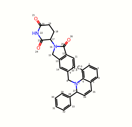 Cc1cccc2c1N(Cc1ccc3c(c1)CN(C1CCC(=O)NC1=O)C3=O)C(c1ccccc1)C=C2